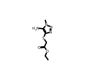 CCOC(=O)CSc1nnn(C)c1N